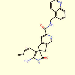 C=C/C=C\C1=C(N)NC(=O)C12Cc1cnc(C(=O)NCc3cccc4ncccc34)cc1C2